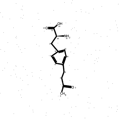 CC(=O)CCc1ccc(C[C@H](N)C(=O)O)cc1